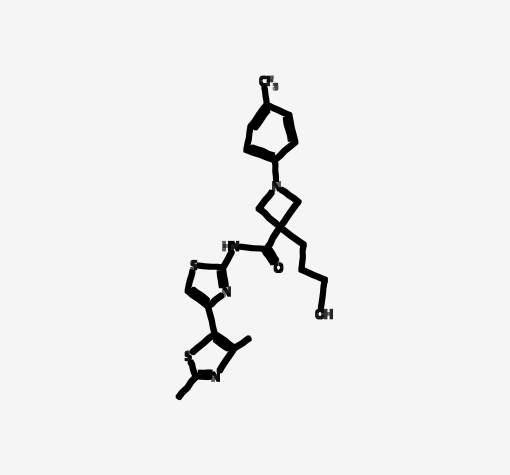 Cc1nc(C)c(-c2csc(NC(=O)C3(CCCO)CN(c4ccc(C(F)(F)F)cc4)C3)n2)s1